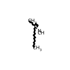 C#N.CCCCCCCCCCCCn1cccc1CCCC